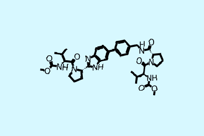 COC(=O)N[C@H](C(=O)N1CCC[C@H]1C(=O)NCc1ccc(-c2ccc3nc([C@@H]4CCCN4C(=O)[C@@H](NC(=O)OC)C(C)C)[nH]c3c2)cc1)C(C)C